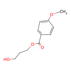 COc1ccc(C(=O)OCCCO)cc1